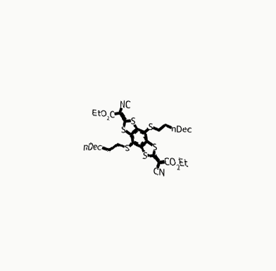 [C-]#[N+]C(C(=O)OCC)=C1Sc2c(SCCCCCCCCCCCC)c3c(c(SCCCCCCCCCCCC)c2S1)SC(=C(C#N)C(=O)OCC)S3